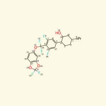 CCCC1CCC(c2cc(F)c(C(F)(F)Oc3ccc4c(c3)OC(F)(F)O4)c(F)c2)C(O)C1